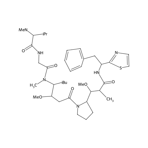 CCC(C)C(C(CC(=O)N1CCCC1C(OC)C(C)C(=O)NC(Cc1ccccc1)c1nccs1)OC)N(C)C(=O)CNC(=O)C(NC)C(C)C